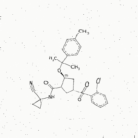 Cc1ccc(C(C)(C)O[C@H]2CC(S(=O)(=O)c3ccccc3Cl)CC2C(=O)NC2(C#N)CC2)cc1